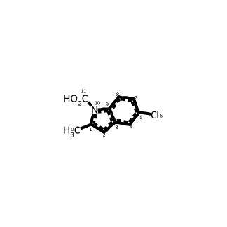 Cc1cc2cc(Cl)ccc2n1C(=O)O